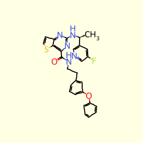 C[C@H](Nc1nc(C(=O)NCCc2cccc(Oc3ccccc3)c2)c2sccc2n1)c1cncc(F)c1